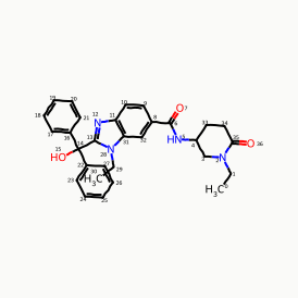 CCN1CC(NC(=O)c2ccc3nc(C(O)(c4ccccc4)c4ccccc4)n(CC)c3c2)CCC1=O